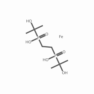 CC(C)(O)P(=O)(O)CCP(=O)(O)C(C)(C)O.[Fe]